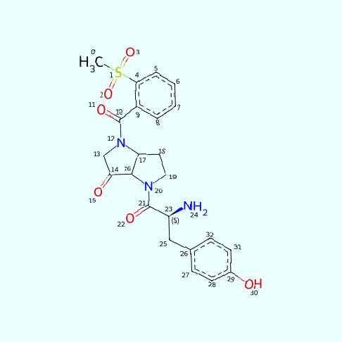 CS(=O)(=O)c1ccccc1C(=O)N1CC(=O)C2C1CCN2C(=O)[C@@H](N)Cc1ccc(O)cc1